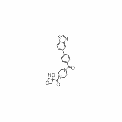 O=C(c1ccc(-c2ccc3scnc3c2)cc1)N1CCN(C(=O)C2(O)COC2)CC1